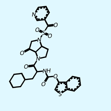 O=C(NC(CC1CCCCC1)C(=O)N1CCC2C1C(=O)CN2S(=O)(=O)C(=O)c1cccnc1)Oc1csc2ccccc12